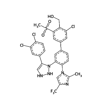 Cc1nc(C(F)(F)F)cn1-c1ccc(-c2cc(Cl)c(CO)c(S(C)(=O)=O)c2)cc1N1NNC=C1c1ccc(Cl)c(Cl)c1